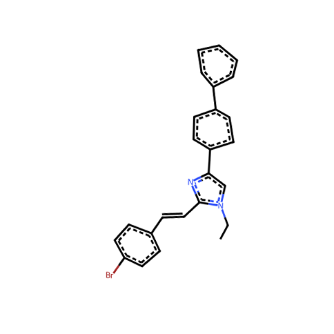 CCn1cc(-c2ccc(-c3ccccc3)cc2)nc1C=Cc1ccc(Br)cc1